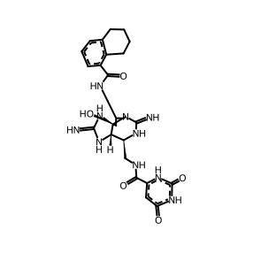 N=C1N[C@H]2[C@H](CNC(=O)c3cc(=O)[nH]c(=O)[nH]3)NC(=N)N3CC(NC(=O)c4cccc5c4CCCC5)[C@@H](O)[C@]23N1